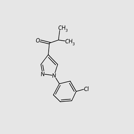 CC(C)C(=O)c1cnn(-c2cccc(Cl)c2)c1